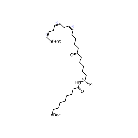 CCCCC/C=C\C/C=C\C/C=C\CCCCC(=O)NCCCC[C@H](NC(=O)CCCCCCCCCCCCCCCCC)C(C)C